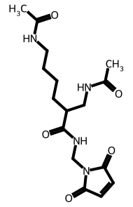 CC(=O)NCCCCC(CNC(C)=O)C(=O)NCN1C(=O)C=CC1=O